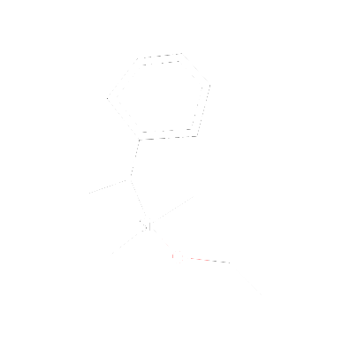 CCO[Si](C)(C)C(C)c1ccccc1